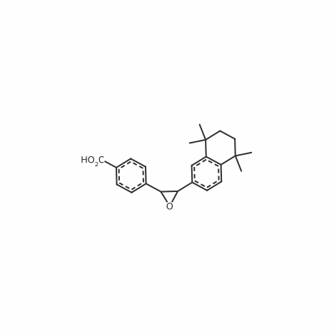 CC1(C)CCC(C)(C)c2cc(C3OC3c3ccc(C(=O)O)cc3)ccc21